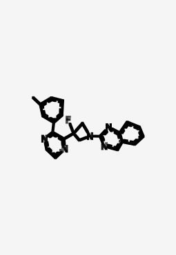 Cc1cccc(-c2nccnc2C2(F)CN(c3ncc4ccccc4n3)C2)c1